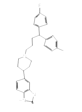 O=C1[N]c2cc(C3CCN(CCCC(c4ccc(F)cc4)c4ccc(F)cc4)CC3)ccc2N1